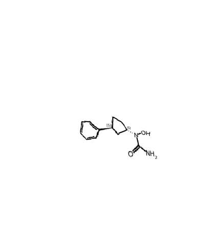 NC(=O)N(O)[C@H]1CC[C@H](c2ccccc2)C1